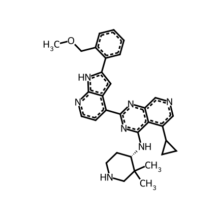 COCc1ccccc1-c1cc2c(-c3nc(N[C@H]4CCNCC4(C)C)c4c(C5CC5)cncc4n3)ccnc2[nH]1